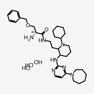 Cl.Cl.Cl.N[C@H](COCc1ccccc1)C(=O)NCCC1C(Nc2nccc(N3CCCCCC3)n2)CCCN1C1CCCCC1